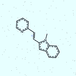 Cn1c(/C=C/c2ccccn2)cc2ccccc21